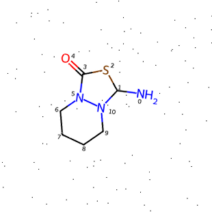 NC1SC(=O)N2CCCCN12